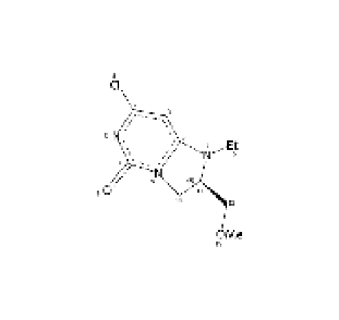 CCN1c2cc(Cl)nc(=O)n2C[C@@H]1COC